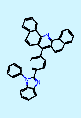 C=C(/C=C\C(=C/C)c1c2ccc3ccccc3c2nc2c1ccc1ccccc12)c1nc2ccccc2n1-c1ccccc1